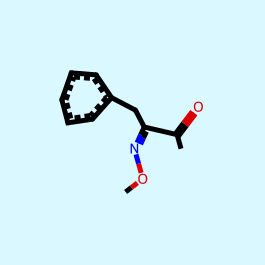 CON=C(Cc1ccccc1)C(C)=O